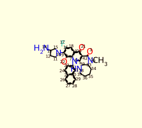 CN(C(=O)c1cn2c3c(c(N4CCC(N)C4)c(F)cc3c1=O)Oc1cc3ccccc3cc1-2)C1CCCCNC1